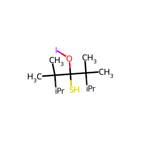 CC(C)C(C)(C)C(S)(OI)C(C)(C)C(C)C